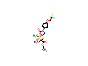 CCOC(=O)C(C)(C[C@H]1CN(c2ccc(OCC(F)(F)F)cc2)C(=O)O1)S(C)(=O)=O